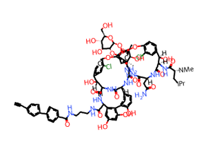 C#Cc1ccc(-c2ccc(C(=O)NCCCNC(=O)C3NC(=O)[C@H]4NC(=O)[C@H](NC(=O)C5NC(=O)[C@H](CC(N)=O)NC(=O)[C@H](NC(=O)[C@@H](CC(C)C)NC)[C@H](O)c6ccc(c(Cl)c6)Oc6cc5cc(c6O[C@@H]5O[C@H](CO)[C@@H](O)[C@H](O)[C@H]5OC5C[C@](C)(N)[C@H](O)[C@H](C)O5)Oc5ccc(cc5Cl)[C@H]4O)c4ccc(O)c(c4)-c4c(O)cc(O)cc43)cc2)cc1